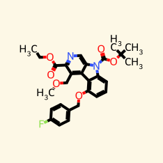 CCOC(=O)c1ncc2c(c1COC)c1c(OCc3ccc(F)cc3)cccc1n2C(=O)OC(C)(C)C